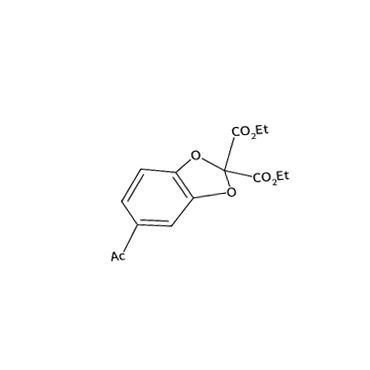 CCOC(=O)C1(C(=O)OCC)Oc2ccc(C(C)=O)cc2O1